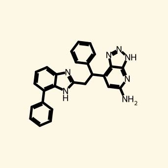 Nc1cc(C(Cc2nc3cccc(-c4ccccc4)c3[nH]2)c2ccccc2)c2nn[nH]c2n1